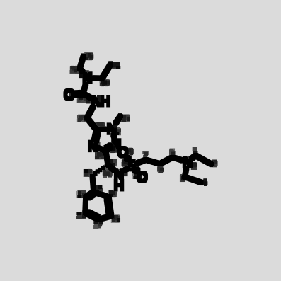 CCN(CC)CCCS(=O)(=O)N[C@H](Cc1ccccc1)c1nc(CNC(=O)N(CC)CC)n(C)n1